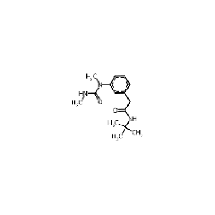 CNC(=O)N(C)c1cccc(CC(=O)NC(C)(C)C)c1